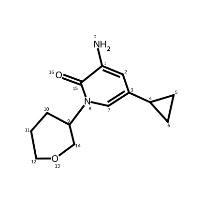 Nc1cc(C2CC2)cn(C2CCCOC2)c1=O